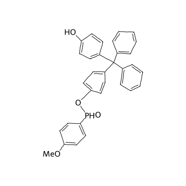 COc1ccc([PH](=O)Oc2ccc(C(c3ccccc3)(c3ccccc3)c3ccc(O)cc3)cc2)cc1